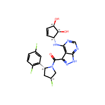 O=C(c1n[nH]c2ncnc(N[C@@H]3C=C[C@@H](O)[C@H]3O)c12)N1C[C@@H](F)C[C@@H]1c1cc(F)ccc1F